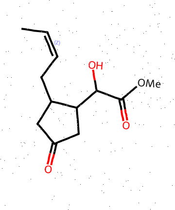 C/C=C\CC1CC(=O)CC1C(O)C(=O)OC